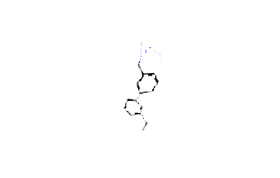 CCc1cccc(-c2cccc(CN)c2)c1